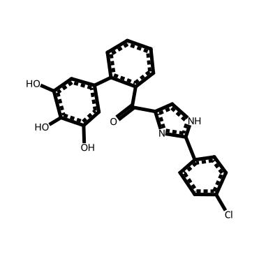 O=C(c1c[nH]c(-c2ccc(Cl)cc2)n1)c1ccccc1-c1cc(O)c(O)c(O)c1